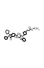 CCOC(=O)CCc1ccc(NC(=O)[C@H](Cc2ccccc2)NC(=O)c2ccc3c(c2)c(=O)n(-c2ccccc2)n3C2CCCCC2)cc1